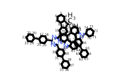 CC1(C)c2ccccc2-c2cc(-c3nc(-c4ccc(-c5ccccc5)cc4)nc(-c4ccc(-c5ccccc5)cc4-n4c5ccccc5c5c(-c6cccc7c6c6ccc(-c8ccccc8)cc6n7-c6ccccc6)cccc54)n3)ccc21